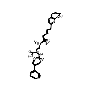 O=C(CCCCc1ccc2c(n1)NCCC2)NCC[C@@H](Nc1ncc(-c2ccccc2)cn1)C(=O)O